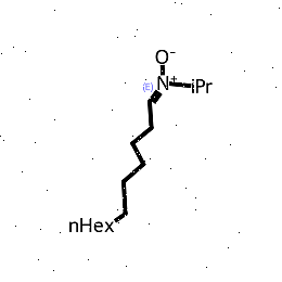 CCCCCCCCCCC/C=[N+](/[O-])C(C)C